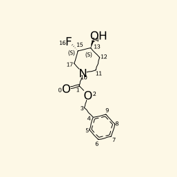 O=C(OCc1ccccc1)N1CC[C@H](O)[C@@H](F)C1